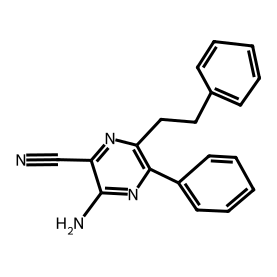 N#Cc1nc(CCc2ccccc2)c(-c2ccccc2)nc1N